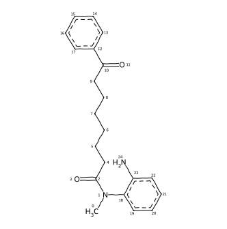 CN(C(=O)CCCCCCC(=O)c1ccccc1)c1ccccc1N